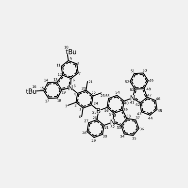 Cc1c(C)c(-n2c3ccc(C(C)(C)C)cc3c3cc(C(C)(C)C)ccc32)c(C)c(C)c1B1c2ccccc2-n2c3ccccc3c3c(-n4c5ccccc5c5ccccc54)ccc1c32